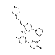 Nc1cc(-c2ccc(=O)n(Cc3cccc(-c4ncc(OCCN5CCOCC5)cn4)c3)n2)ccc1F